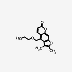 Cc1oc2cc3oc(=O)ccc3c(COCCO)c2c1C